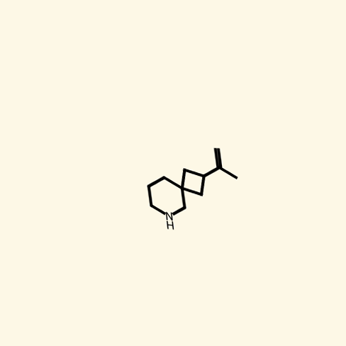 C=C(C)C1CC2(CCCNC2)C1